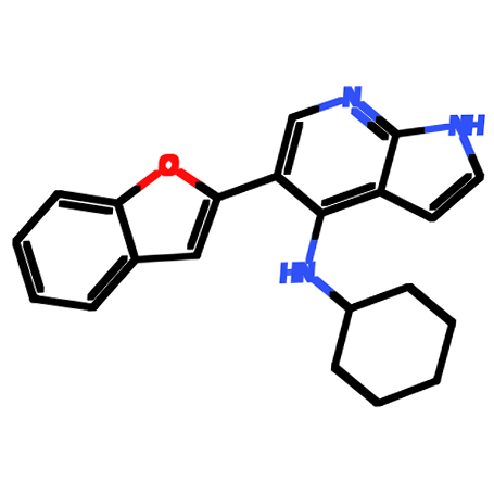 c1ccc2oc(-c3cnc4[nH]ccc4c3NC3CCCCC3)cc2c1